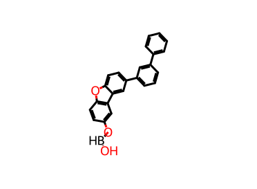 OBOc1ccc2oc3ccc(-c4cccc(-c5ccccc5)c4)cc3c2c1